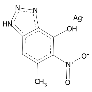 Cc1cc2[nH]nnc2c(O)c1[N+](=O)[O-].[Ag]